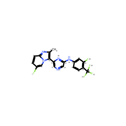 Cc1nc2ccc(F)cn2c1-c1cncc(Nc2ccc(C(F)(F)F)c(F)c2)n1